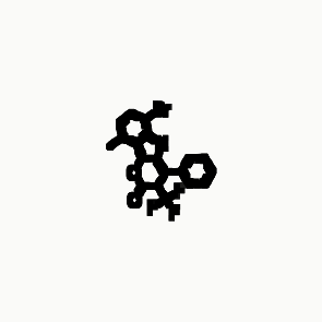 Cc1ccc(Br)c2c1=C1OC(=O)C(C(F)(F)F)C(c3ccccc3)=C1N=2